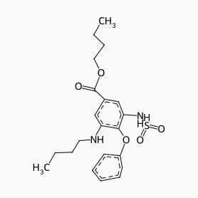 CCCCNc1cc(C(=O)OCCCC)cc(N[SH](=O)=O)c1Oc1ccccc1